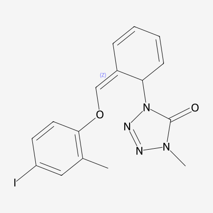 Cc1cc(I)ccc1O/C=C1/C=CC=CC1n1nnn(C)c1=O